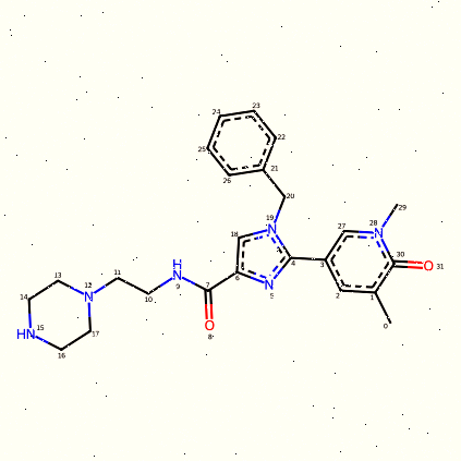 Cc1cc(-c2nc(C(=O)NCCN3CCNCC3)cn2Cc2ccccc2)cn(C)c1=O